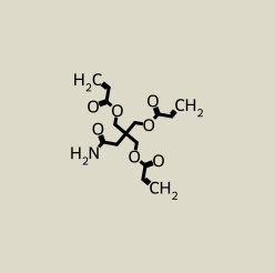 C=CC(=O)OCC(COC(=O)C=C)(COC(=O)C=C)CC(N)=O